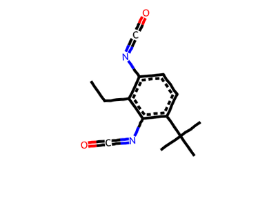 CCc1c(N=C=O)ccc(C(C)(C)C)c1N=C=O